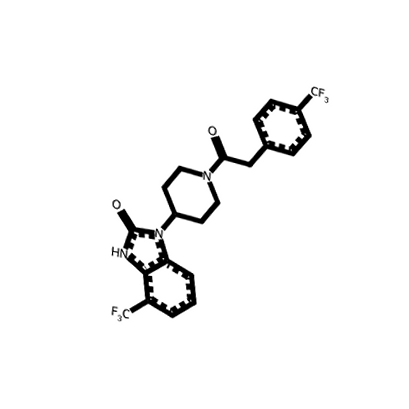 O=C(Cc1ccc(C(F)(F)F)cc1)N1CCC(n2c(=O)[nH]c3c(C(F)(F)F)cccc32)CC1